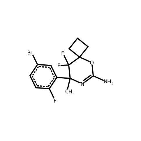 CC1(c2cc(Br)ccc2F)N=C(N)OC2(CCC2)C1(F)F